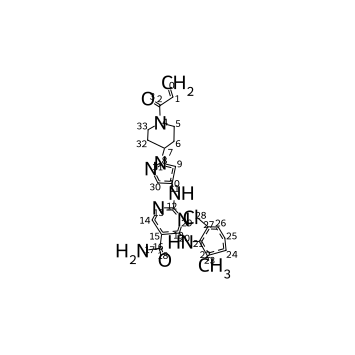 C=CC(=O)N1CCC(n2cc(Nc3ncc(C(N)=O)c(Nc4c(C)cccc4Cl)n3)cn2)CC1